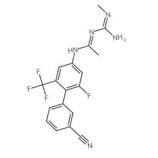 C/N=C(N)\N=C(/C)Nc1cc(F)c(-c2cccc(C#N)c2)c(C(F)(F)F)c1